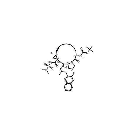 CC(C)Cc1nc2ccccc2nc1O[C@@H]1C[C@H]2C(=O)N[C@]3(C(=O)NS(=O)(=O)N(C)C)C[C@H]3/C=C\CCCCC[C@H](NC(=O)OC(C)(C)C)C(=O)N2C1